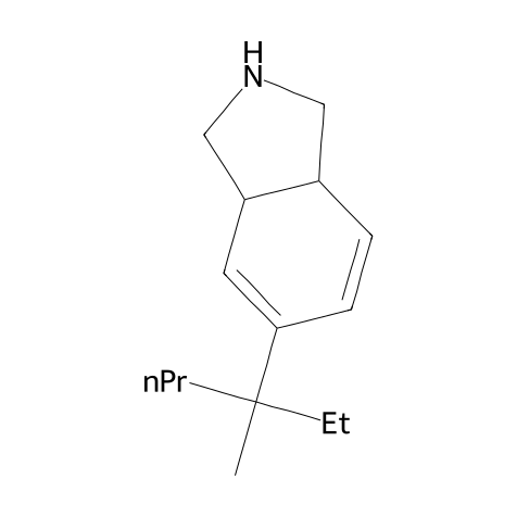 CCCC(C)(CC)C1=CC2CNCC2C=C1